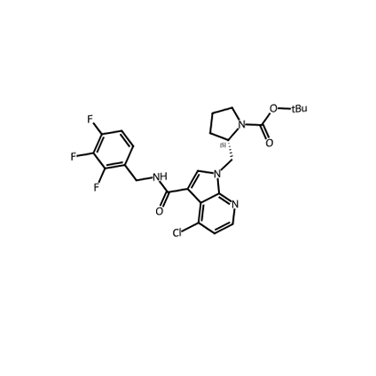 CC(C)(C)OC(=O)N1CCC[C@H]1Cn1cc(C(=O)NCc2ccc(F)c(F)c2F)c2c(Cl)ccnc21